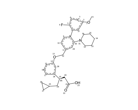 COc1ccc(F)c(-c2ccc(COc3cccc([C@@H](CC(=O)O)CC4CC4)c3)cc2N2CCCCC2)c1